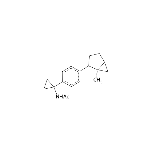 CC(=O)NC1(c2ccc(C3CCC4C[C@]43C)cc2)CC1